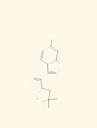 CC1(C)CC(C(=S=O)c2noc3cc(Cl)ccc23)=NO1